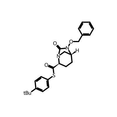 CC(C)(C)c1ccc(SC(=O)[C@@H]2CC[C@@H]3CN2C(=O)N3OCc2ccccc2)cc1